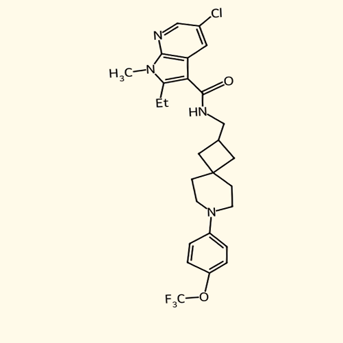 CCc1c(C(=O)NCC2CC3(CCN(c4ccc(OC(F)(F)F)cc4)CC3)C2)c2cc(Cl)cnc2n1C